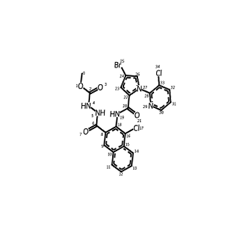 COC(=O)NNC(=O)c1cc2ccccc2c(Cl)c1NC(=O)c1cc(Br)cn1-c1ncccc1Cl